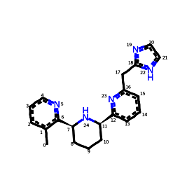 Cc1cccnc1[C@@H]1CCC[C@H](c2cccc(Cc3ncc[nH]3)n2)N1